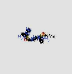 COCC[S+]([O-])c1sc2nc(-c3cnc4nn(CC5CC([S+]([O-])c6sc7nc(-c8cncnc8)nc(C8CCC8)c7c6N)C5)cc4c3)nc(-c3ccccc3)c2c1N